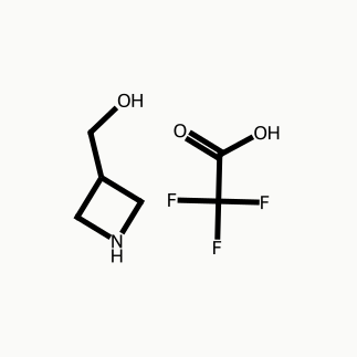 O=C(O)C(F)(F)F.OCC1CNC1